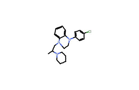 CC(CN1CCN(c2ccc(Cl)cc2)c2ccccc21)N1CCCCC1